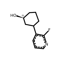 O[C@H]1CCCC(c2cccnc2F)C1